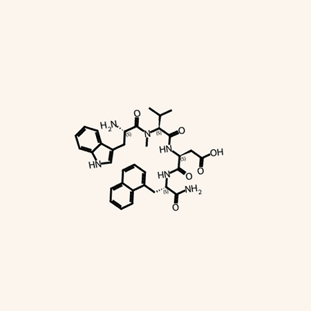 CC(C)[C@@H](C(=O)N[C@@H](CC(=O)O)C(=O)N[C@@H](Cc1cccc2ccccc12)C(N)=O)N(C)C(=O)[C@@H](N)Cc1c[nH]c2ccccc12